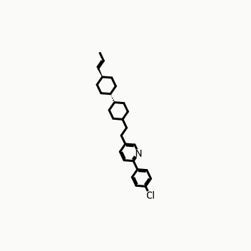 C/C=C/[C@H]1CC[C@H](C2CCC(CCc3ccc(-c4ccc(Cl)cc4)nc3)CC2)CC1